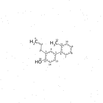 C=CCc1cc(-c2ccccc2C)ccc1O